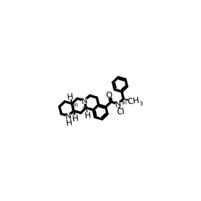 C[C@H](c1ccccc1)N(Cl)C(=O)c1cccc2c1CCN1C[C@H]3CCCN[C@H]3C[C@H]21